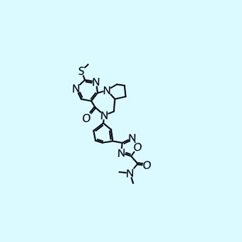 CSc1ncc2c(n1)N1CCCC1CN(c1cccc(-c3noc(C(=O)N(C)C)n3)c1)C2=O